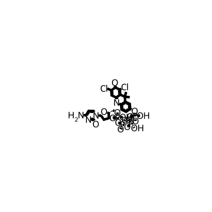 CC1(C)C2=C(Cl)C(=O)C(Cl)=CC2=Nc2ccc(OP(=O)(O)OP(=O)(O)OP(=O)(O)OP(=O)(O)OC[C@@H]3CCC(n4ccc(N)nc4=O)O3)cc21